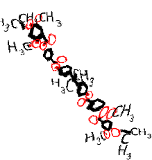 COc1cc(C(=O)Oc2ccc(C(=O)Oc3ccc(C(C)(C)c4ccc(OC(=O)c5ccc(OC(=O)c6cc(OC)c(OCC(C)C)cc6OC)cc5)cc4)cc3)cc2)c(OC)cc1OCC(C)C